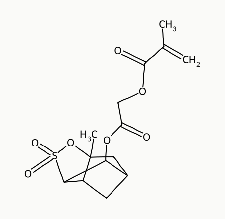 C=C(C)C(=O)OCC(=O)OC1C2CC3C1S(=O)(=O)OC3(C)C2